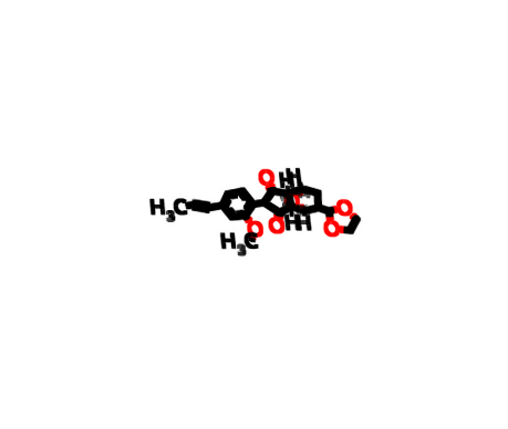 CC#Cc1ccc(C2C(=O)[C@@H]3[C@H](C2=O)[C@@H]2O[C@H]3CC2C2OCCO2)c(OC)c1